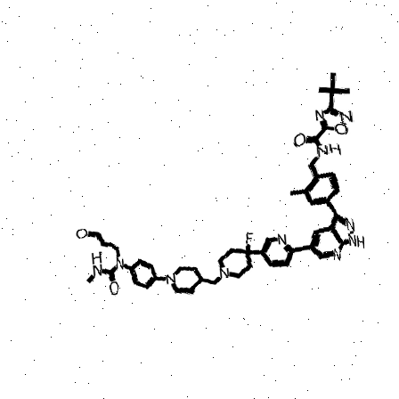 CNC(=O)N(CCC=O)c1ccc(N2CCC(CN3CCC(F)(c4ccc(-c5cnc6[nH]nc(-c7ccc(CNC(=O)c8nc(C(C)(C)C)no8)c(C)c7)c6c5)nc4)CC3)CC2)cc1